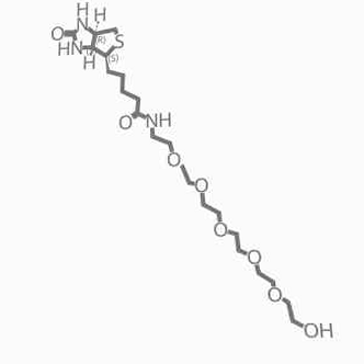 O=C(CCCC[C@@H]1SC[C@@H]2NC(=O)N[C@@H]21)NCCOCCOCCOCCOCCOCCO